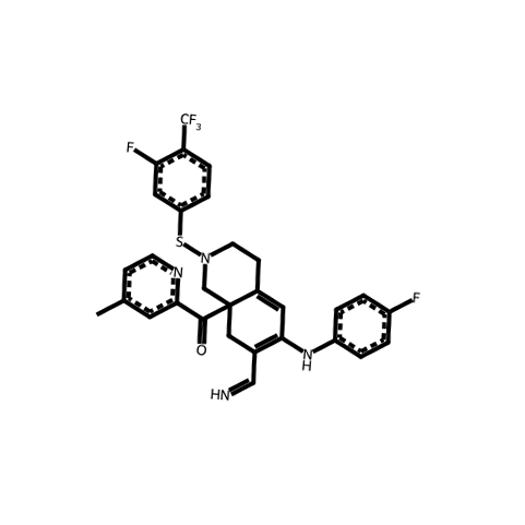 Cc1ccnc(C(=O)C23CC(C=N)=C(Nc4ccc(F)cc4)C=C2CCN(Sc2ccc(C(F)(F)F)c(F)c2)C3)c1